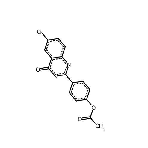 CC(=O)Oc1ccc(-c2nc3ccc(Cl)cc3c(=O)s2)cc1